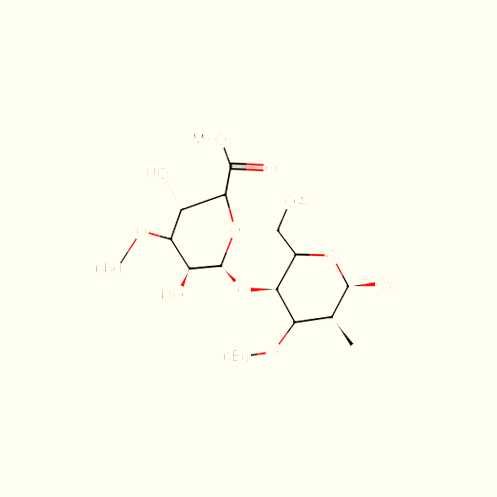 CCCCOC1[C@@H](O[C@@H]2OC(C(=O)OC)[C@@H](O)C(OCCCC)[C@@H]2O)C(COC(C)=O)O[C@@H](O)[C@H]1C